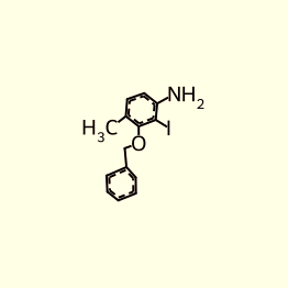 Cc1ccc(N)c(I)c1OCc1ccccc1